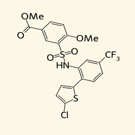 COC(=O)c1ccc(OC)c(S(=O)(=O)Nc2cc(C(F)(F)F)ccc2-c2ccc(Cl)s2)c1